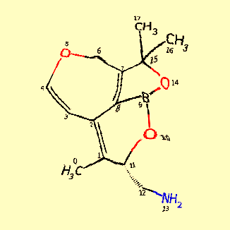 CC1=C2C=COCC3=C2B(O[C@@H]1CN)OC3(C)C